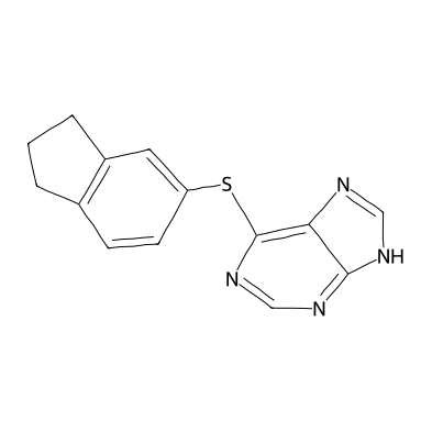 c1nc(Sc2ccc3c(c2)CCC3)c2nc[nH]c2n1